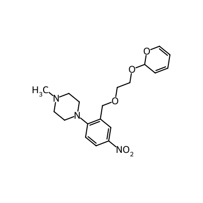 CN1CCN(c2ccc([N+](=O)[O-])cc2COCCOC2C=CC=CO2)CC1